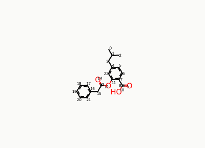 CC(C)Cc1ccc(C(=O)O)c(OC(=O)Cc2ccccc2)c1